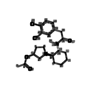 CC(=O)OC1CCN([C@@H]2CCCC[C@H]2N(C)C(=O)Cc2ccc(Cl)c(Cl)c2)C1